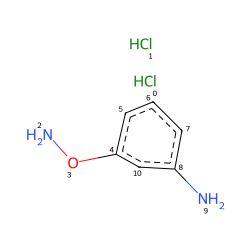 Cl.Cl.NOc1cccc(N)c1